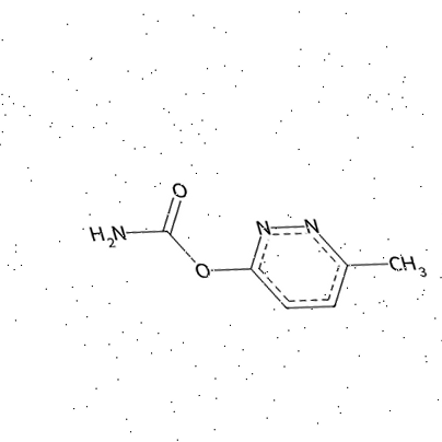 Cc1ccc(OC(N)=O)nn1